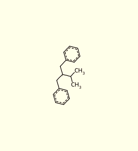 CC(C)[C](Cc1ccccc1)Cc1ccccc1